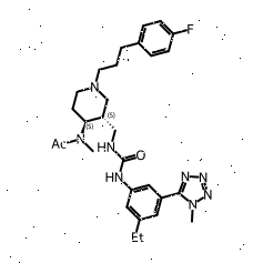 CCc1cc(NC(=O)NC[C@H]2CN(CCCc3ccc(F)cc3)CC[C@@H]2N(C)C(C)=O)cc(-c2nnnn2C)c1